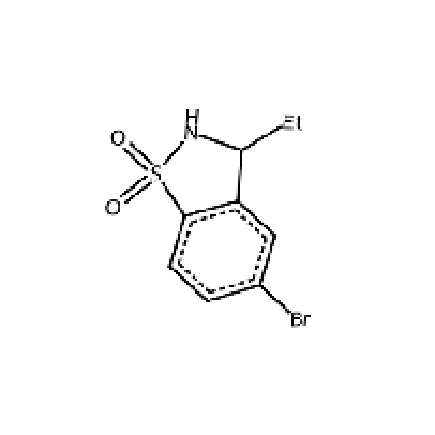 CCC1NS(=O)(=O)c2ccc(Br)cc21